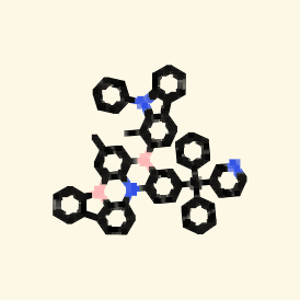 Cc1cc2c3c(c1)B1c4ccccc4-c4cccc(c41)N3c1ccc([Si](c3ccccc3)(c3ccccc3)c3cccnc3)cc1B2c1ccc2c3ccccc3n(-c3ccccc3)c2c1C